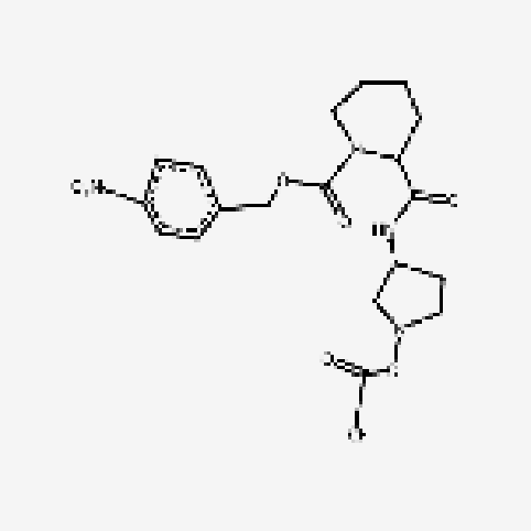 O=C(N[C@H]1CCN(OC(=O)C(F)(F)F)C1)C1CCCCN1C(=O)OCc1ccc([N+](=O)[O-])cc1